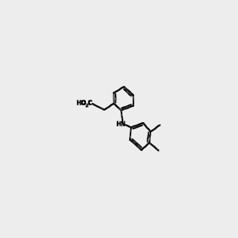 Cc1ccc(Nc2ccccc2CC(=O)O)cc1C